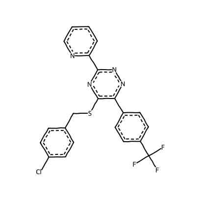 FC(F)(F)c1ccc(-c2nnc(-c3ccccn3)nc2SCc2ccc(Cl)cc2)cc1